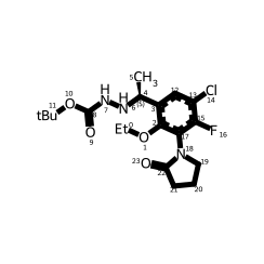 CCOc1c([C@H](C)NNC(=O)OC(C)(C)C)cc(Cl)c(F)c1N1CCCC1=O